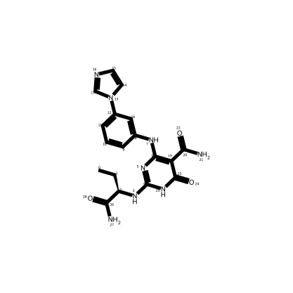 CC[C@@H](Nc1nc(Nc2cccc(-n3ccnc3)c2)c(C(N)=O)c(=O)[nH]1)C(N)=O